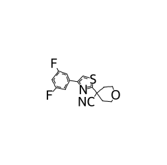 N#CC1(c2nc(-c3cc(F)cc(F)c3)cs2)CCOCC1